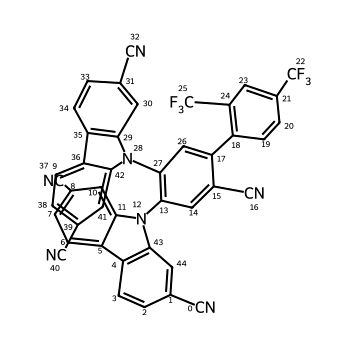 N#Cc1ccc2c3ccc(C#N)cc3n(-c3cc(C#N)c(-c4ccc(C(F)(F)F)cc4C(F)(F)F)cc3-n3c4cc(C#N)ccc4c4ccc(C#N)cc43)c2c1